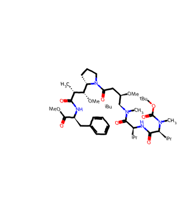 CC[C@H](C)[C@@H]([C@@H](CC(=O)N1CCC[C@H]1[C@H](OC)[C@@H](C)C(=O)N[C@@H](Cc1ccccc1)C(=O)OC)OC)N(C)C(=O)[C@@H](NC(=O)[C@H](C(C)C)N(C)C(=O)OC(C)(C)C)C(C)C